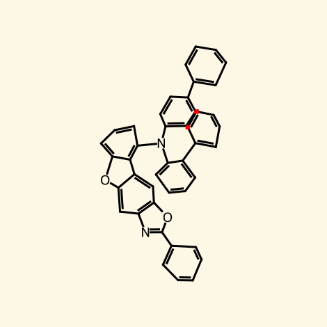 c1ccc(-c2ccc(N(c3ccccc3-c3ccccc3)c3cccc4oc5cc6nc(-c7ccccc7)oc6cc5c34)cc2)cc1